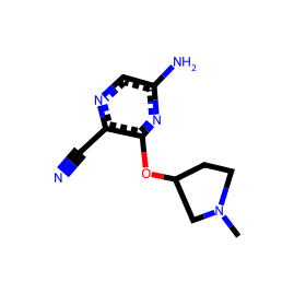 CN1CCC(Oc2nc(N)cnc2C#N)C1